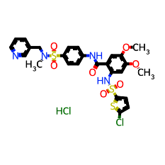 COc1cc(NS(=O)(=O)c2ccc(Cl)s2)c(C(=O)Nc2ccc(S(=O)(=O)N(C)Cc3cccnc3)cc2)cc1OC.Cl